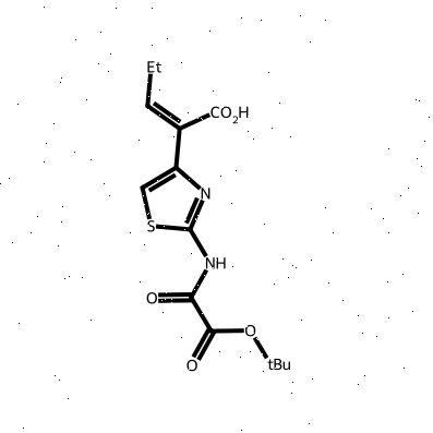 CCC=C(C(=O)O)c1csc(NC(=O)C(=O)OC(C)(C)C)n1